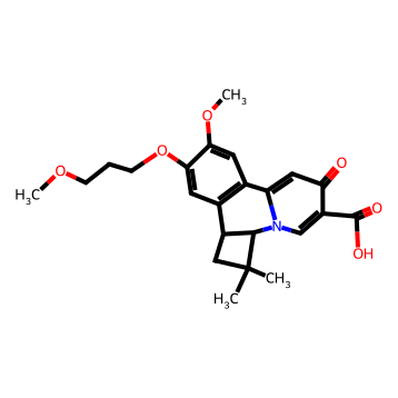 COCCCOc1cc2c(cc1OC)-c1cc(=O)c(C(=O)O)cn1C1C2CC1(C)C